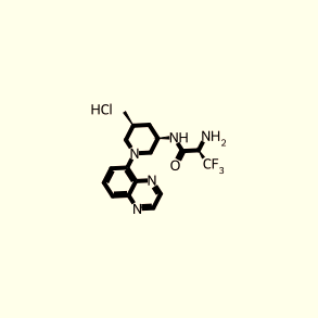 C[C@H]1C[C@@H](NC(=O)[C@@H](N)C(F)(F)F)CN(c2cccc3nccnc23)C1.Cl